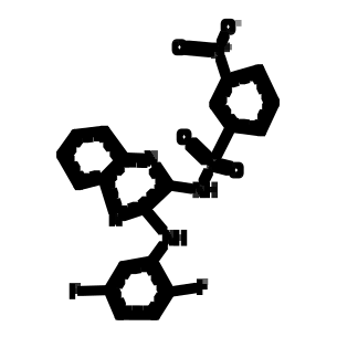 O=[N+]([O-])c1cccc(S(=O)(=O)Nc2nc3ccccc3nc2Nc2cc(F)ccc2F)c1